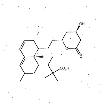 CC1C=C2C=C[C@H](C)[C@H](CC[C@@H]3C[C@@H](O)CC(=O)O3)[C@@H]2[C@H](C(C)C(C)(C)C(=O)O)C1